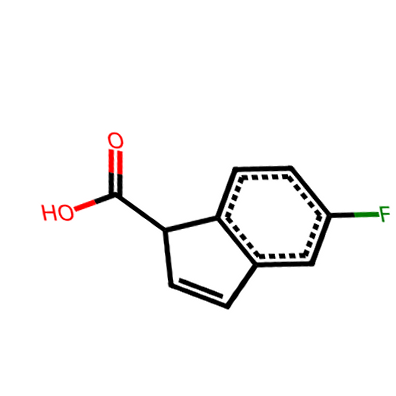 O=C(O)C1C=Cc2cc(F)ccc21